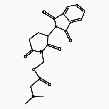 CN(C)CC(=O)OCN1C(=O)CCC(N2C(=O)c3ccccc3C2=O)C1=O